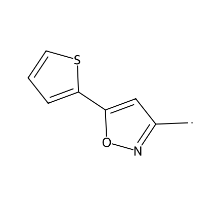 [CH2]c1cc(-c2cccs2)on1